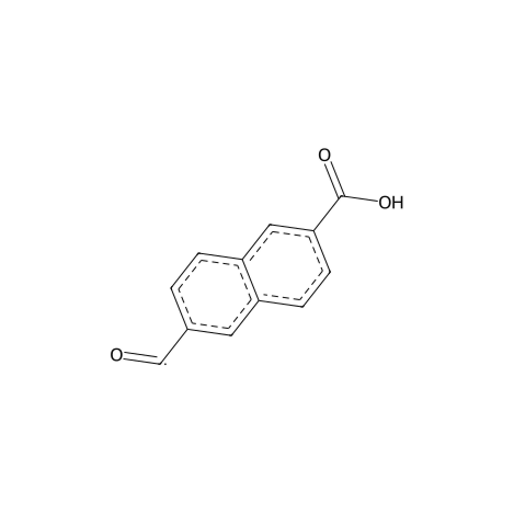 O=[C]c1ccc2cc(C(=O)O)ccc2c1